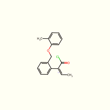 C/C=C(\C(=O)Cl)c1ccccc1COc1ccccc1C